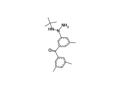 Cc1cc(C)cc(C(=O)c2cc(C)cc(N(N)NC(C)(C)C)c2)c1